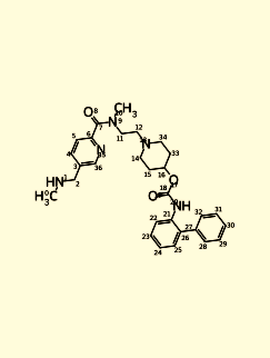 CNCc1ccc(C(=O)N(C)CCN2CCC(OC(=O)Nc3ccccc3-c3ccccc3)CC2)nc1